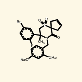 COc1ccc(CN2C(=O)C3(CC=CC3)S(=O)(=O)CC2(C)c2cc(Br)ccc2F)c(OC)c1